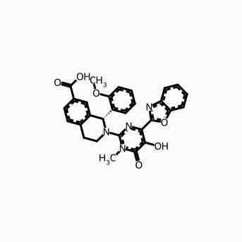 COc1ccccc1[C@H]1c2cc(C(=O)O)ccc2CCN1c1nc(-c2nc3ccccc3o2)c(O)c(=O)n1C